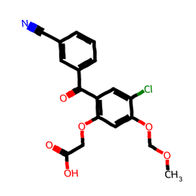 COCOc1cc(OCC(=O)O)c(C(=O)c2cccc(C#N)c2)cc1Cl